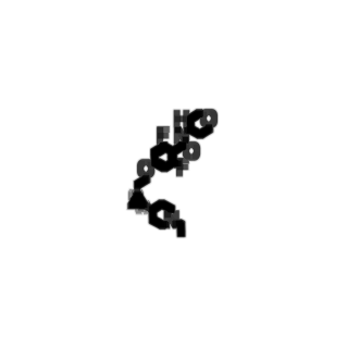 CCN1CCC([C@H]2C[C@H]2CCOc2cc(F)c(C(=O)NC3CCOCC3)c(F)c2)CC1